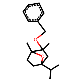 CC(C)C12CCC(C)(O1)C(C)(OCc1ccccc1)C2